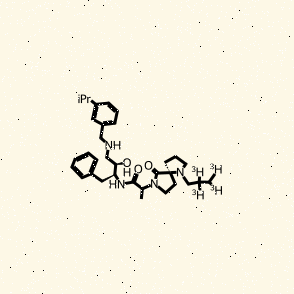 [3H]C([3H])C([3H])([3H])CN1CCC[C@@]12CCN(C(C)C(=O)N[C@@H](Cc1ccccc1)[C@H](O)CNCc1cccc(C(C)C)c1)C2=O